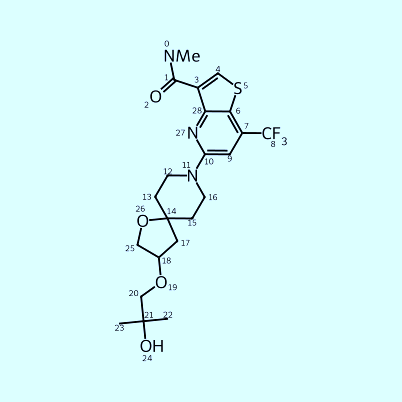 CNC(=O)c1csc2c(C(F)(F)F)cc(N3CCC4(CC3)CC(OCC(C)(C)O)CO4)nc12